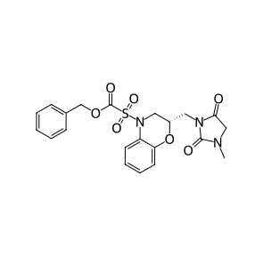 CN1CC(=O)N(C[C@H]2CN(S(=O)(=O)C(=O)OCc3ccccc3)c3ccccc3O2)C1=O